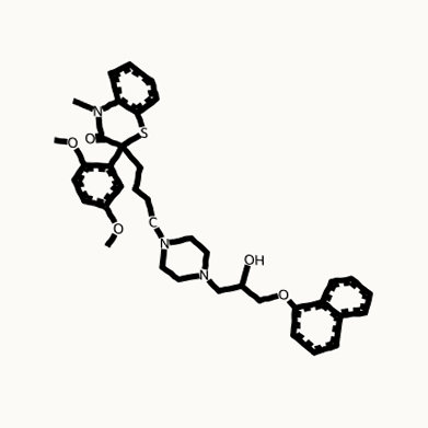 COc1ccc(OC)c(C2(CCCCN3CCN(CC(O)COc4cccc5ccccc45)CC3)Sc3ccccc3N(C)C2=O)c1